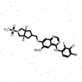 COc1cc2c(Nc3ccc(Br)c(Cl)c3F)ncnc2cc1OCC1C[C@@H]2CN(S(C)(=O)=O)C[C@@H]2C1